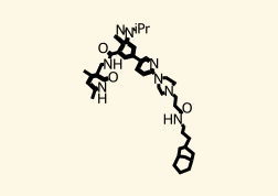 Cc1cc(C)c(CNC(=O)c2cc(-c3ccc(N4CCN(CCC(=O)NCCCC5CC6CCCC(C5)C6)CC4)nc3)cc3c2cnn3C(C)C)c(=O)[nH]1